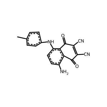 Cc1ccc(Nc2ccc(N)c3c2C(=O)C(C#N)=C(C#N)C3=O)cc1